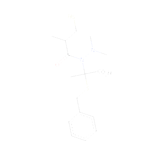 CC(CS)C(=O)N(N(C)C)C(C)(SCc1ccccc1)C(=O)O